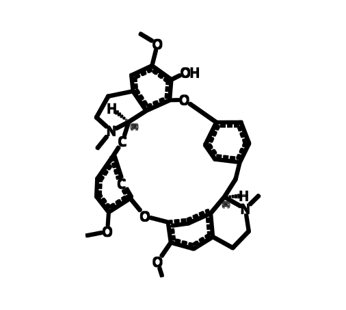 COc1ccc2cc1Oc1cc3c(cc1OC)CCN(C)[C@@H]3Cc1ccc(cc1)Oc1c(O)c(OC)cc3c1[C@@H](C2)N(C)CC3